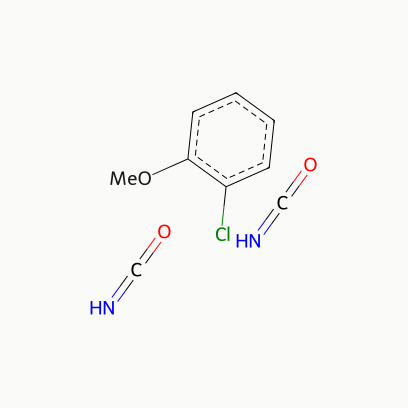 COc1ccccc1Cl.N=C=O.N=C=O